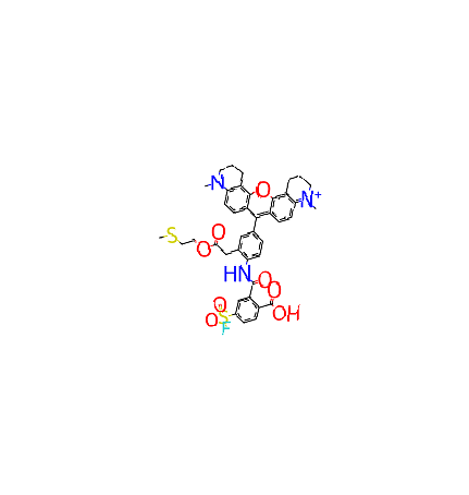 CSCCOC(=O)Cc1cc(C2=c3ccc4c(c3Oc3c2ccc2c3CCCN2C)CCC[N+]=4C)ccc1NC(=O)c1cc(S(=O)(=O)F)ccc1C(=O)O